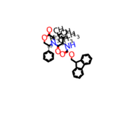 CC(C)[C@H](NC(=O)OCC1c2ccccc2-c2ccccc21)C(=O)N1[C@H](c2ccccc2)COC(=O)[C@@H]1C(C)(C)C